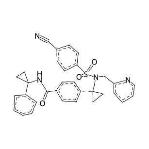 N#Cc1ccc(S(=O)(=O)N(Cc2ccccn2)C2(c3ccc(C(=O)NC4(c5ccccc5)CC4)cc3)CC2)cc1